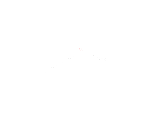 CCCCCCCCCCCCCCCCC1OC1CCCCCCCCCCCCCCCCCCC1CO1